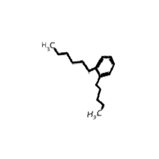 CCCCC[CH]c1ccccc1CCCCC